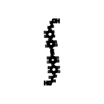 OCCCC1CCC(c2ccc(C#Cc3ccc([C@H]4CC[C@H](CCCO)CC4)cc3)cc2)CC1